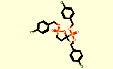 CC1(P(=O)(OCc2ccc(Cl)cc2)OCc2ccc(Cl)cc2)CCP(=O)(OCc2ccc(Cl)cc2)O1